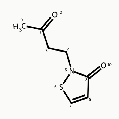 CC(=O)CCn1sccc1=O